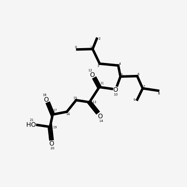 CC(C)CCC(CC(C)C)OC(=O)C(=O)CCC(=O)C(=O)O